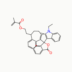 C=C(C)C(=O)OCCC1CCC(C)=C(C2(c3c(C)n(CC)c4ccccc34)OC(=O)c3ccccc32)c2ccccc21